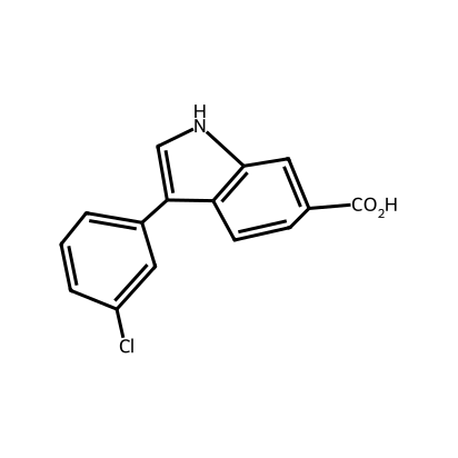 O=C(O)c1ccc2c(-c3cccc(Cl)c3)c[nH]c2c1